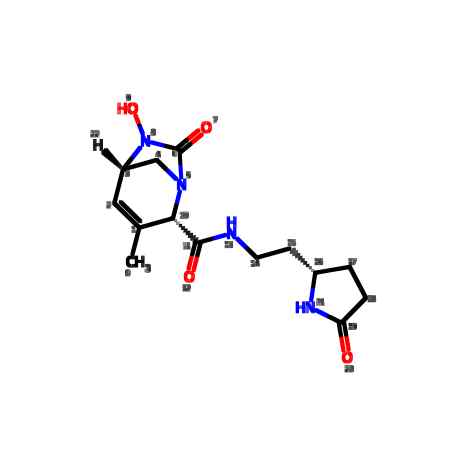 CC1=C[C@H]2CN(C(=O)N2O)[C@@H]1C(=O)NCC[C@@H]1CCC(=O)N1